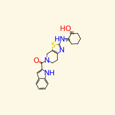 O=C(c1cc2ccccc2[nH]1)N1CCc2nc(N[C@@H]3CCCC[C@H]3O)sc2C1